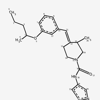 CCCC(C)Oc1cccc(C=C2CCN(C(=O)Nc3cnoc3)CC2C)c1